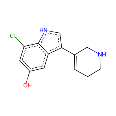 Oc1cc(Cl)c2[nH]cc(C3=CCCNC3)c2c1